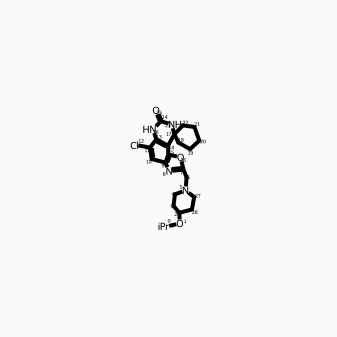 CC(C)OC1CCN(Cc2nc3cc(Cl)c4c(c3o2)C2(CCCCC2)NC(=O)N4)CC1